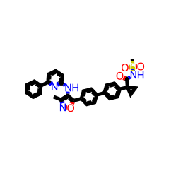 Cc1noc(-c2ccc(-c3ccc(C4(C(=O)NS(C)(=O)=O)CC4)cc3)cc2)c1Nc1cccc(-c2ccccc2)n1